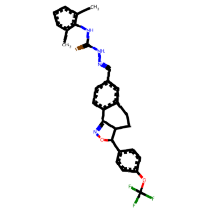 Cc1cccc(C)c1NC(=S)N/N=C/c1ccc2c(c1)CCC1C2=NOC1c1ccc(OC(F)(F)F)cc1